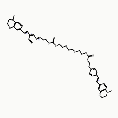 C=CC(/C=C/c1ccc2c(c1)OCCN2C)=C\C=N\CCSC(=O)OCCOCCOCCOC(=O)SCC[n+]1ccc(/C=C/c2ccc3c(c2)OCCN3C)cc1